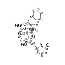 NC(=O)[C@@]1(C2(C(=O)O)OC=C(Cc3ccccc3)O2)CCC[C@@](O)(C#Cc2cccc(Cl)c2)C1